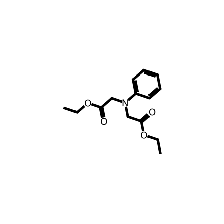 CCOC(=O)CN(CC(=O)OCC)c1ccccc1